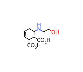 O=C(O)C1C=CCC(NCCO)C1C(=O)O